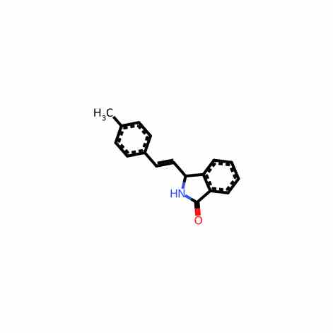 Cc1ccc(C=CC2NC(=O)c3ccccc32)cc1